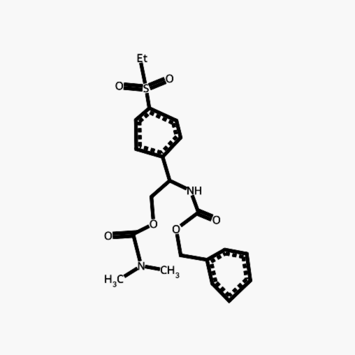 CCS(=O)(=O)c1ccc(C(COC(=O)N(C)C)NC(=O)OCc2ccccc2)cc1